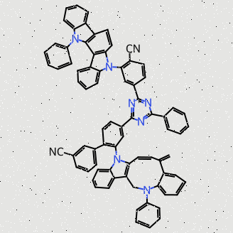 C=C1/C=C\c2c(c3ccccc3n2-c2cc(-c3nc(-c4ccccc4)nc(-c4ccc(C#N)c(-n5c6ccccc6c6c5ccc5c7ccccc7n(-c7ccccc7)c56)c4)n3)ccc2-c2cccc(C#N)c2)CN(c2ccccc2)c2ccccc21